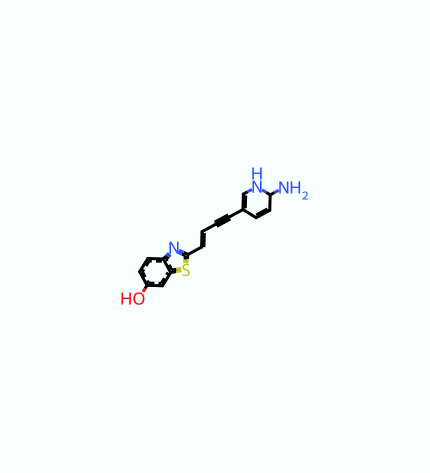 NC1C=CC(C#C/C=C/c2nc3ccc(O)cc3s2)=CN1